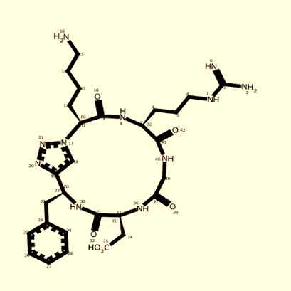 N=C(N)NCCC[C@@H]1NC(=O)[C@H](CCCCN)n2cc(nn2)[C@H](Cc2ccccc2)NC(=O)[C@H](CC(=O)O)NC(=O)CNC1=O